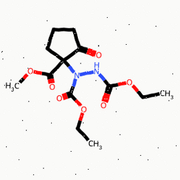 CCOC(=O)NN(C(=O)OCC)C1(C(=O)OC)CCCC1=O